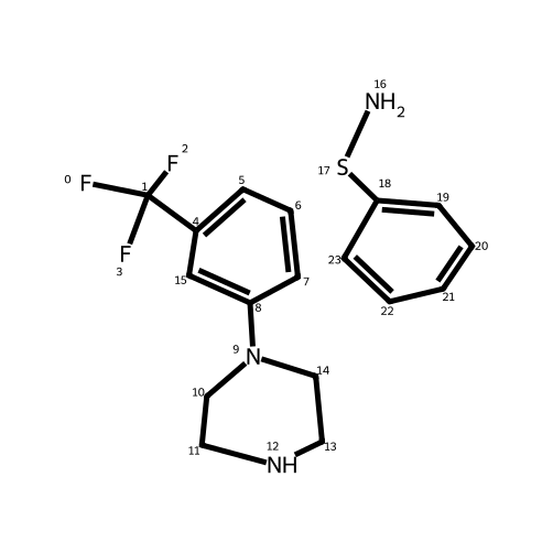 FC(F)(F)c1cccc(N2CCNCC2)c1.NSc1ccccc1